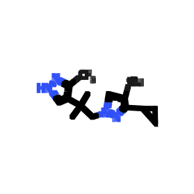 CC(C)(C)c1cn(CC(C)(C)c2c[nH]nc2C(F)(F)F)nc1C1CC1